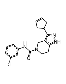 O=C(Nc1cccc(Cl)c1)N1CCc2[nH]nc(C3CC=CC3)c2C1